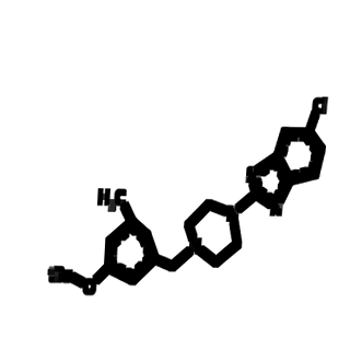 Cc1cc(CN2CCN(c3nc4ccc(Cl)cc4s3)CC2)cc(OC(C)(C)C)c1